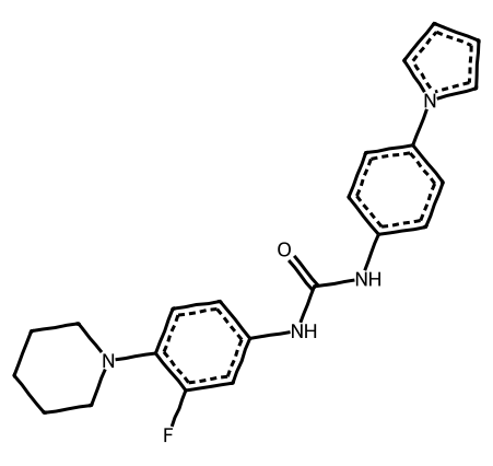 O=C(Nc1ccc(-n2cccc2)cc1)Nc1ccc(N2CCCCC2)c(F)c1